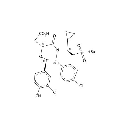 CC(C)(C)S(=O)(=O)C[C@H](C1CC1)N1C(=O)[C@@H](CC(=O)O)O[C@H](c2ccc(C#N)c(Cl)c2)[C@H]1c1ccc(Cl)cc1